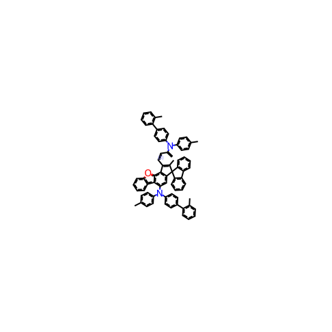 C=C(/C=C\C1=C(C)C2(c3ccccc3-c3ccccc32)c2cc(N(c3ccc(C)cc3)c3ccc(-c4ccccc4C)cc3)c3c(oc4ccccc43)c21)N(c1ccc(C)cc1)c1ccc(-c2ccccc2C)cc1